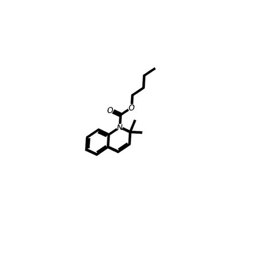 CCCCOC(=O)N1c2ccccc2C=CC1(C)C